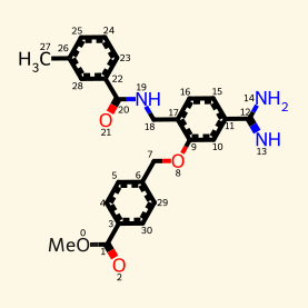 COC(=O)c1ccc(COc2cc(C(=N)N)ccc2CNC(=O)c2cccc(C)c2)cc1